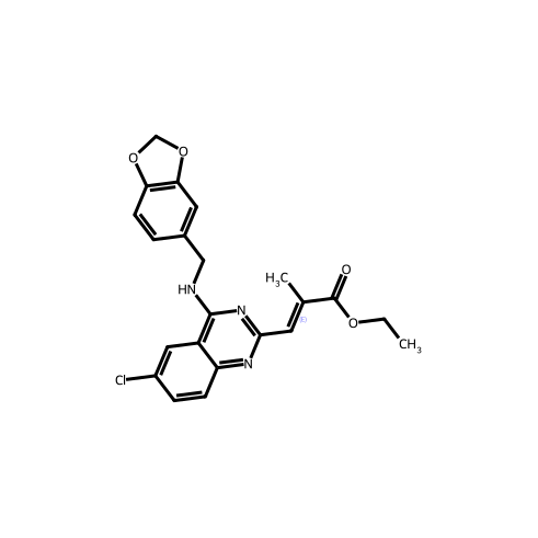 CCOC(=O)/C(C)=C/c1nc(NCc2ccc3c(c2)OCO3)c2cc(Cl)ccc2n1